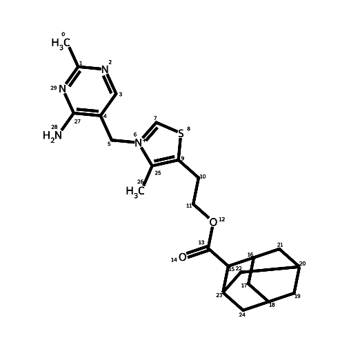 Cc1ncc(C[n+]2csc(CCOC(=O)C3C4CC5CC(C4)CC3C5)c2C)c(N)n1